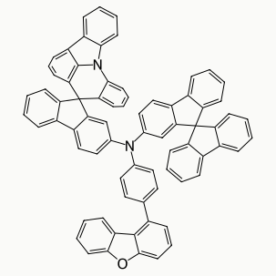 c1ccc2c(c1)-c1ccccc1C21c2ccccc2-c2ccc(N(c3ccc(-c4cccc5oc6ccccc6c45)cc3)c3ccc4c(c3)C3(c5ccccc5-4)c4ccccc4-n4c5ccccc5c5cccc3c54)cc21